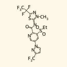 CCS(=O)(=O)c1cc(-n2ccc(C(F)(F)F)n2)cnc1C(=O)/N=c1\sc(C(F)(F)C(F)(F)F)nn1C